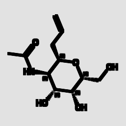 C=CC[C@H]1O[C@H](CO)[C@H](O)[C@H](O)[C@H]1NC(C)=O